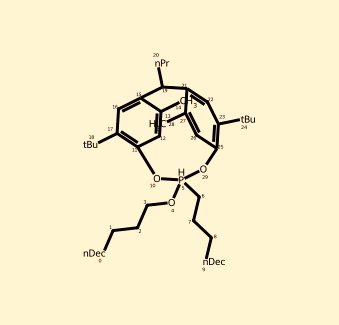 CCCCCCCCCCCCCO[PH]1(CCCCCCCCCCCCC)Oc2cc(C)c(cc2C(C)(C)C)C(CCC)c2cc(C(C)(C)C)c(cc2C)O1